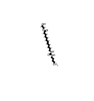 CCCCCNC(=O)NCCCC/C=C/CCCCCC(=O)OCCO